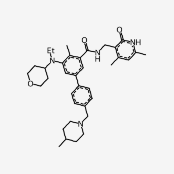 CCN(c1cc(-c2ccc(CN3CCC(C)CC3)cc2)cc(C(=O)NCc2c(C)cc(C)[nH]c2=O)c1C)C1CCOCC1